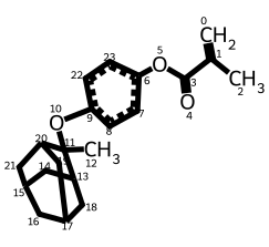 C=C(C)C(=O)Oc1ccc(OC2(C)C3CC4CC(C3)CC2C4)cc1